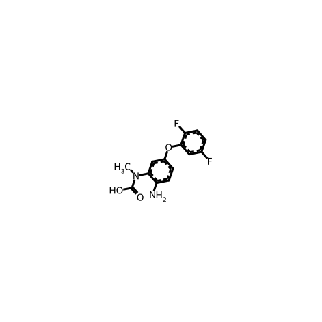 CN(C(=O)O)c1cc(Oc2cc(F)ccc2F)ccc1N